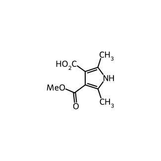 COC(=O)c1c(C)[nH]c(C)c1C(=O)O